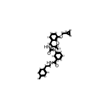 Cc1ccc(CCNC(=O)c2cccc(N3C(=O)NC4CC3(C)Oc3c(OCC5CC5)cccc34)c2)cc1